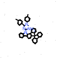 Cc1ccc(C(/N=C(\N)n2c3ccccc3c3ccc(C4(c5ccccc5)c5ccccc5-c5ccccc54)cc32)N(C)c2ccc(C)cc2)cc1